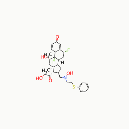 C[C@]12C[C@H](O)[C@@]3(F)[C@@H](C[C@H](F)C4=CC(=O)C=C[C@@]43C)C1C[C@@H](CN(O)CCSc1ccccc1)[C@@H]2C(=O)CO